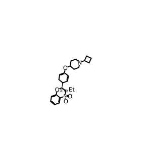 CC[C@H]1[C@H](C2C=CC(OC3CCN(C4CCC4)CC3)=CC2)Oc2ccccc2S1(=O)=O